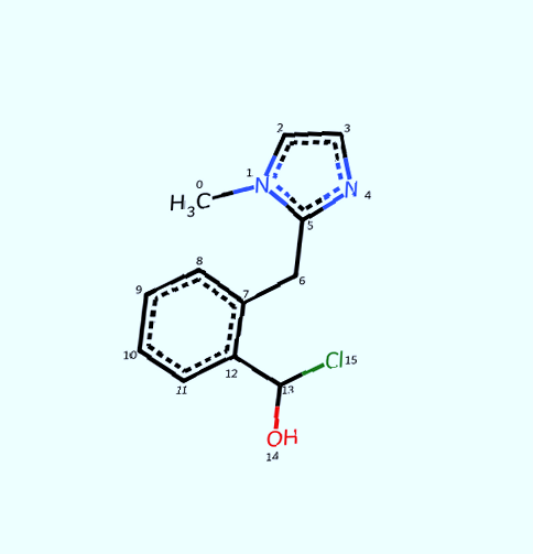 Cn1ccnc1Cc1ccccc1C(O)Cl